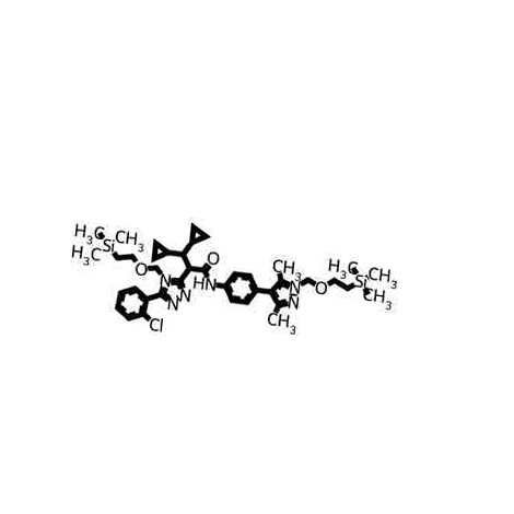 Cc1nn(COCC[Si](C)(C)C)c(C)c1-c1ccc(NC(=O)C(c2nnc(-c3ccccc3Cl)n2COCC[Si](C)(C)C)C(C2CC2)C2CC2)cc1